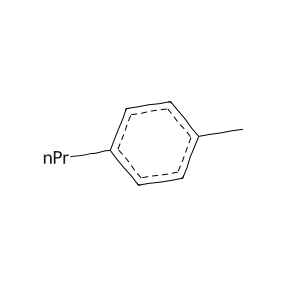 C[C]Cc1ccc(C)cc1